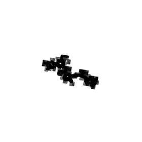 CC1=CN(c2cc(NC(=O)c3ccc(C)c(C#C/C(N)=C/C=C(\N)NC4CC4)c3)cc(C(F)(F)F)c2)CN1